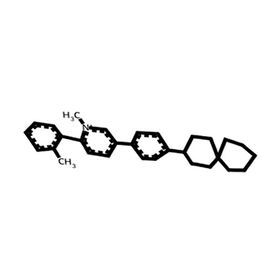 Cc1ccccc1-c1ccc(-c2ccc(C3CCC4(CCCCC4)CC3)cc2)c[n+]1C